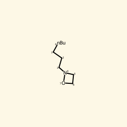 CCCCCCCN1CCO1